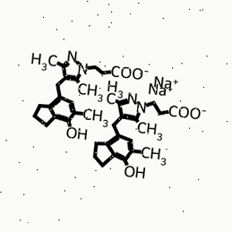 Cc1cc(Cc2c(C)nn(CCC(=O)[O-])c2C)c2c(c1O)CCC2.Cc1cc(Cc2c(C)nn(CCC(=O)[O-])c2C)c2c(c1O)CCC2.[Na+].[Na+]